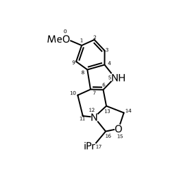 COc1ccc2[nH]c3c(c2c1)CCN1C3COC1C(C)C